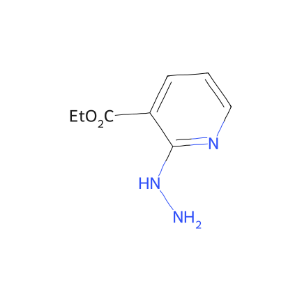 CCOC(=O)c1cccnc1NN